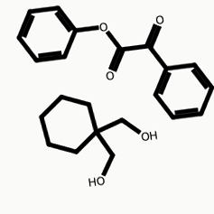 O=C(Oc1ccccc1)C(=O)c1ccccc1.OCC1(CO)CCCCC1